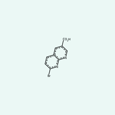 O=C(O)c1cnc2nc(Br)ccc2c1